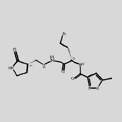 Cc1cc(C(=O)N[C@@H](CCC(C)C)C(=O)NNC[C@@H]2CCNC2=O)no1